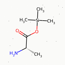 C[C@H](N)C(=O)O[Si](C)(C)C